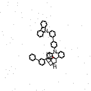 c1ccc(-c2cccc(-c3ccc(N(c4ccc(-c5cccc(-n6c7ccccc7c7ccccc76)c5)cc4)c4ccccc4C45C[C@@H]6CC7C[C@@H](C4)C76C5)cc3)c2)cc1